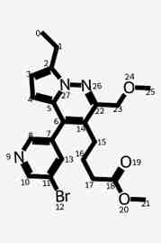 CCc1ccc2c(-c3cncc(Br)c3)c(CCCC(=O)OC)c(COC)nn12